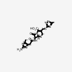 Cc1nnc(SCC2=C(C(=O)O)N3C(=O)C(NC(=O)Cc4sc(N)nc4C)[C@H]3SC2)s1